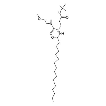 CCCCCCCCCCCCCCCC(=O)N[C@@H](CCC(=O)OC(C)(C)C)C(=O)NCCOC